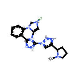 CN1CCCC1c1cn(-c2nnc3n2C2=CN(Cl)CN2c2ccccc2-3)nn1